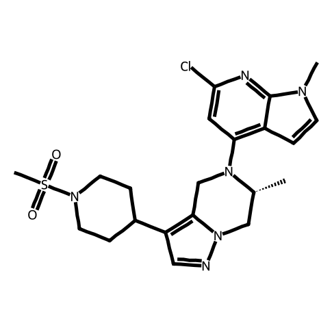 C[C@@H]1Cn2ncc(C3CCN(S(C)(=O)=O)CC3)c2CN1c1cc(Cl)nc2c1ccn2C